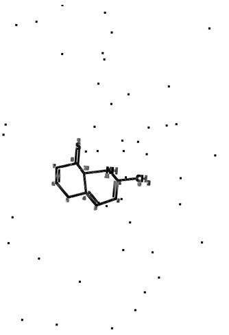 CC1=CC=C2CC=CC(=S)C2N1